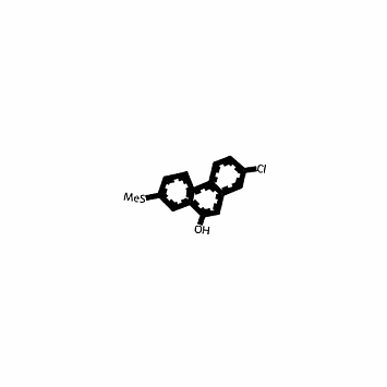 CSc1ccc2c(c1)c(O)cc1cc(Cl)ccc12